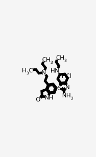 CCCN(CCC)CCc1cccc2c1CC(=O)N2.CCCN[C@H]1CCc2nc(N)sc2C1.Cl